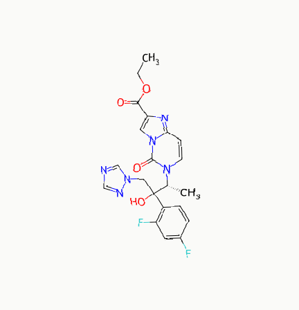 CCOC(=O)c1cn2c(=O)n([C@H](C)C(O)(Cn3cncn3)c3ccc(F)cc3F)ccc2n1